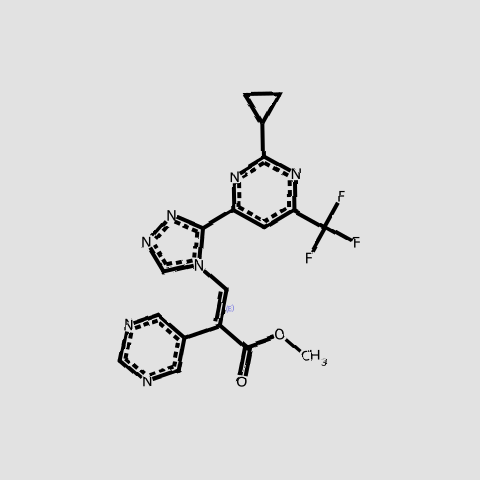 COC(=O)/C(=C/n1cnnc1-c1cc(C(F)(F)F)nc(C2CC2)n1)c1cncnc1